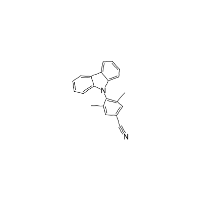 Cc1cc(C#N)cc(C)c1-n1c2ccccc2c2ccccc21